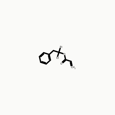 C=CC(=O)OC(CC)(CC)Cc1ccccc1